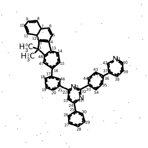 CC1(C)C2=C(C=CC3C=CC=CC23)c2ccc(-c3cccc(-c4cc(-c5ccccc5)nc(-c5ccc(-c6cccnc6)cc5)n4)c3)cc21